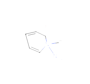 CC[N+]1(N)C=CC=CC1.[Br-]